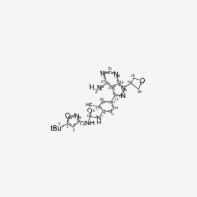 CC(C)(C)c1cc(NC(=O)Nc2ccc(-c3nn(C4COC4)c4ncnc(N)c34)cc2F)no1